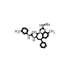 Cc1cccc(NC(=O)NC2CC(c3ccccc3)c3ccc(C)cc3N(CC(=O)NC(C)(C)C)C2=O)c1